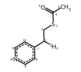 [2H]C(CSC(C)=O)c1ccncc1